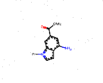 COC(=O)c1cc(N)c2ccn(C(C)C)c2c1